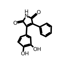 O=C1NC(=O)C(c2ccc(O)c(O)c2)=C1c1ccccc1